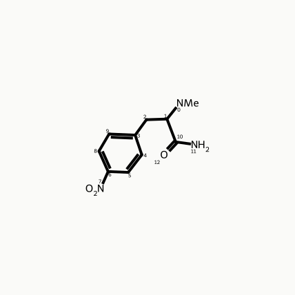 CNC(Cc1ccc([N+](=O)[O-])cc1)C(N)=O